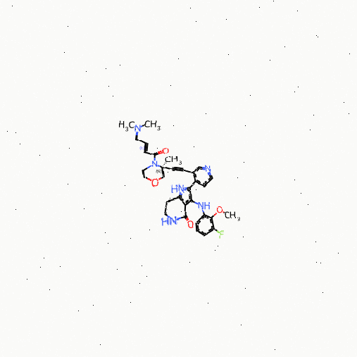 COc1c(F)cccc1Nc1c(-c2ccncc2C#C[C@@]2(C)COCCN2C(=O)/C=C/CN(C)C)[nH]c2c1C(=O)NCC2